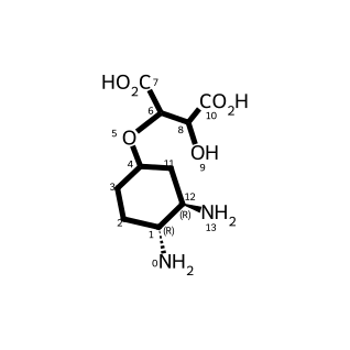 N[C@@H]1CCC(OC(C(=O)O)C(O)C(=O)O)C[C@H]1N